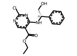 CCOC(=O)c1cnc(Cl)nc1N[C@H](CO)c1ccccc1